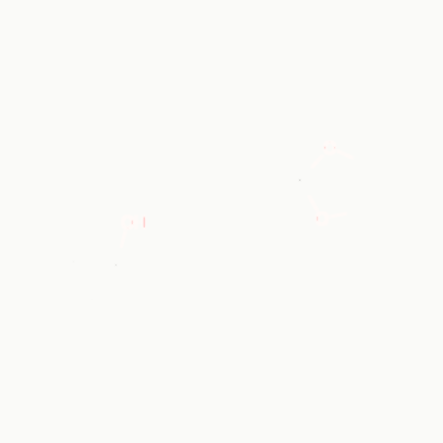 CC1(c2ccc(CC3(O)CC3)cc2)OCCO1